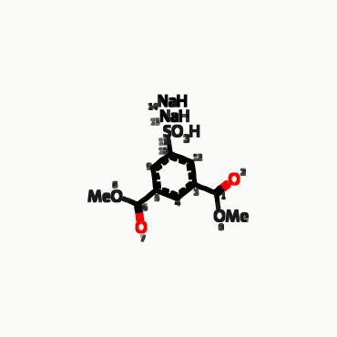 COC(=O)c1cc(C(=O)OC)cc(S(=O)(=O)O)c1.[NaH].[NaH]